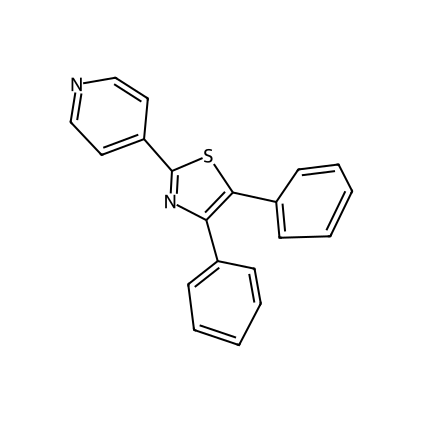 c1ccc(-c2nc(-c3ccncc3)sc2-c2ccccc2)cc1